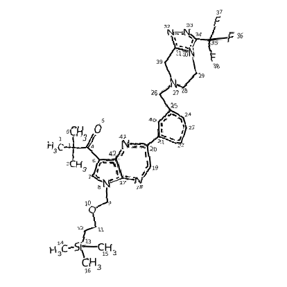 CC(C)(C)C(=O)c1cn(COCC[Si](C)(C)C)c2ncc(-c3cccc(CN4CCn5c(nnc5C(F)(F)F)C4)c3)nc12